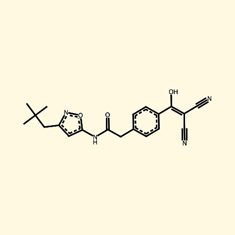 CC(C)(C)Cc1cc(NC(=O)Cc2ccc(C(O)=C(C#N)C#N)cc2)on1